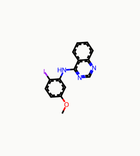 COc1ccc(I)c(Nc2ncnc3ccccc23)c1